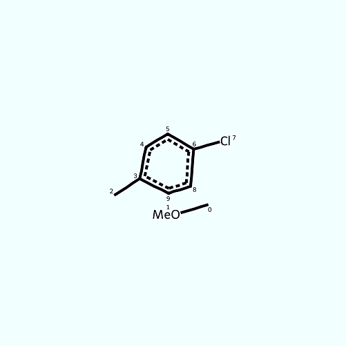 COC.Cc1ccc(Cl)cc1